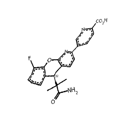 CC(C)(C(N)=O)[C@@H]1c2ccc(-c3ccc(C(=O)O)nc3)nc2Oc2c(F)cccc21